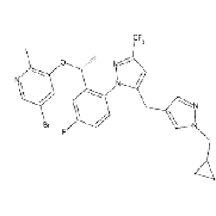 Cc1ncc(Br)cc1O[C@H](C)c1cc(F)ccc1-n1nc(C(F)(F)F)cc1Cc1cnn(CC2CC2)c1